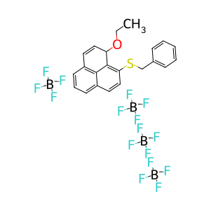 CCOC1C=Cc2cccc3ccc(SCc4ccccc4)c1c23.F[B-](F)(F)F.F[B-](F)(F)F.F[B-](F)(F)F.F[B-](F)(F)F